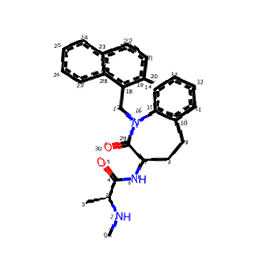 CN[C@@H](C)C(=O)NC1CCc2ccccc2N(Cc2c(C)ccc3ccccc23)C1=O